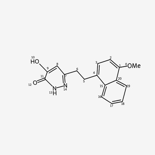 COc1ccc(CCc2cc(O)c(=O)[nH]n2)c2ccccc12